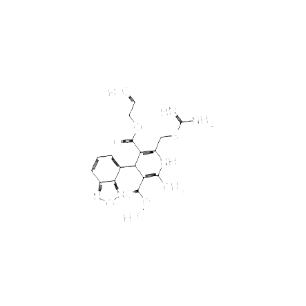 C=CCOC(=O)C1=C(CSC(=N)N)NC(C)=C(C(=O)OC)C1c1cccc2nonc12